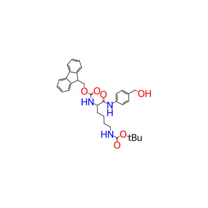 CC(C)(C)OC(=O)NCCCCC(NC(=O)OCC1c2ccccc2-c2ccccc21)C(=O)Nc1ccc(CO)cc1